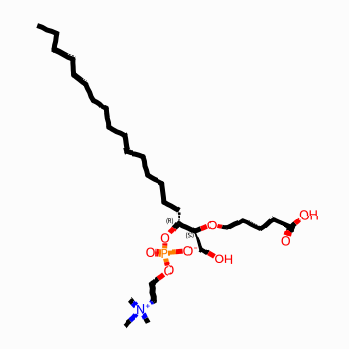 CCCCCCCCCCCCCCCC[C@@H](OP(=O)([O-])OCC[N+](C)(C)C)[C@H](CO)OCCCCC(=O)O